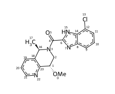 CO[C@H]1CN(C(=O)c2nc3cccc(Cl)c3[nH]2)[C@H](C)c2cccnc21